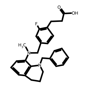 CN(Cc1ccc(CCC(=O)O)c(F)c1)c1cccc2c1N(Cc1ccccc1)CCC2